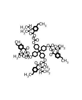 C=C[SiH](C=C)c1cc(CC)ccc1C(=O)OOC(=O)OC1CCC(C(C2CCC(OC(=O)OOC(=O)c3ccc(CC)cc3[SiH](C=C)C=C)CC2)(C2CCC(OC(=O)OOC(=O)c3ccc(CC)cc3[SiH](C=C)C=C)CC2)C2CCC(OC(=O)OOC(=O)c3ccc(CC)cc3[SiH](C=C)C=C)CC2)CC1